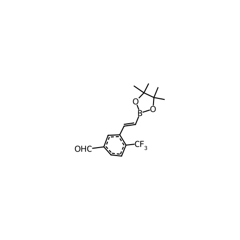 CC1(C)OB(/C=C/c2cc(C=O)ccc2C(F)(F)F)OC1(C)C